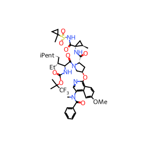 CCC[C@@H](C)C[C@@H](CC)[C@H](NC(=O)OC(C)(C)C(F)(F)F)C(=O)N1C[C@H](Oc2ncc(N(C)C(=O)c3ccccc3)c3cc(OC)ccc23)C[C@H]1C(=O)N[C@]1(C(=O)NS(=O)(=O)C2(C)CC2)C[C@H]1C